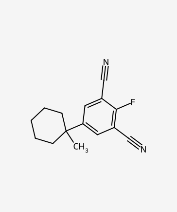 CC1(c2cc(C#N)c(F)c(C#N)c2)CCCCC1